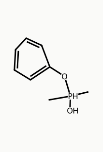 C[PH](C)(O)Oc1ccccc1